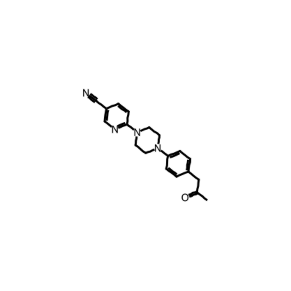 CC(=O)Cc1ccc(N2CCN(c3ccc(C#N)cn3)CC2)cc1